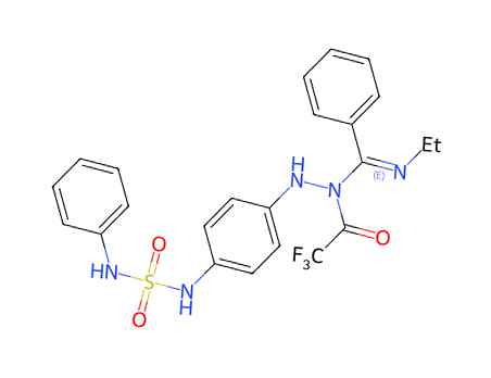 CC/N=C(\c1ccccc1)N(Nc1ccc(NS(=O)(=O)Nc2ccccc2)cc1)C(=O)C(F)(F)F